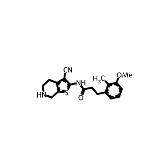 COc1cccc(CCC(=O)Nc2sc3c(c2C#N)CCNC3)c1C